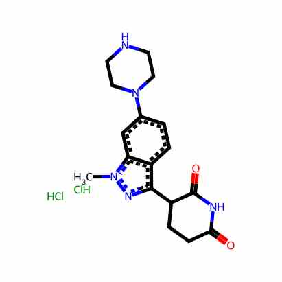 Cl.Cl.Cn1nc(C2CCC(=O)NC2=O)c2ccc(N3CCNCC3)cc21